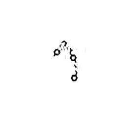 Cc1ccc(S(=O)(=O)N2CCC[C@H]2C(=O)N[C@@H](Cc2ccc(NC(=S)NCCc3ccccc3)cc2)C(=O)O)cc1O